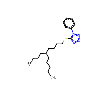 CCCCCC(CCCC)CCCCSc1nnnn1-c1ccccc1